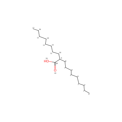 CCCCCCCCCC(CCCCCCCC)C(=O)O